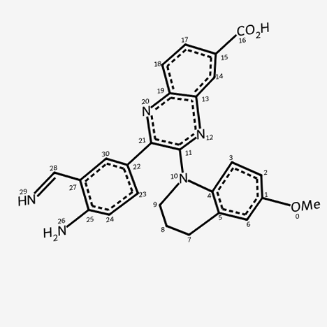 COc1ccc2c(c1)CCCN2c1nc2cc(C(=O)O)ccc2nc1-c1ccc(N)c(C=N)c1